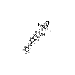 CC(C)(C)OC(=O)NCC(O)CN1CCc2cc(OCc3ccccc3)ccc2C1